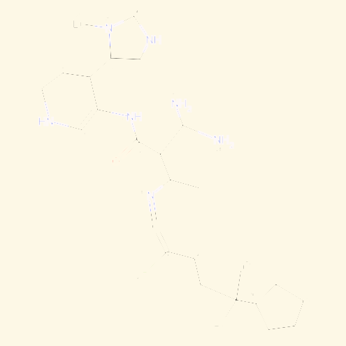 CCCC(CC)(CCC(F)=C=NC(C)C(C(=O)NC1=CNCCC1C1CNCN1CC)C(N)N)C1CCCC1